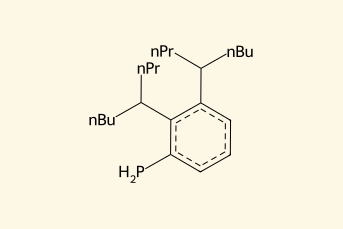 CCCCC(CCC)c1cccc(P)c1C(CCC)CCCC